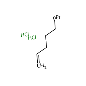 C=CCCCCCC.Cl.Cl